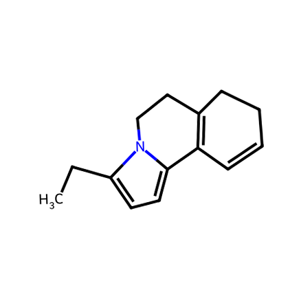 CCc1ccc2n1CCC1=C2C=CCC1